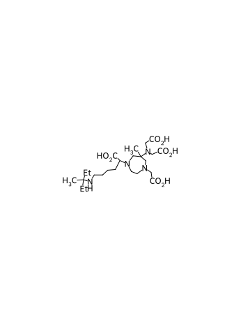 CCC(C)(CC)NCCCCC(C(=O)O)N1CCN(CC(=O)O)CC(C)(N(CC(=O)O)CC(=O)O)C1